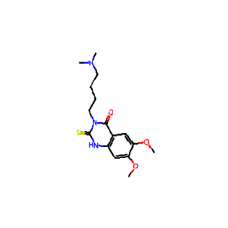 COc1cc2[nH]c(=S)n(CCCCN(C)C)c(=O)c2cc1OC